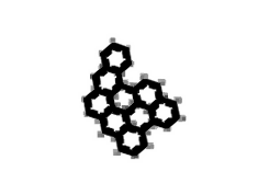 c1ccc2c(c1)cc1ccc3cc4cccc5c6cccc7ccc8c2c1c3c(c45)c8c76